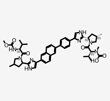 COC(=O)N[C@H](C(=O)N1CC(C)CC1c1nc(-c2ccc3cc(-c4ccc(-c5c[nH]c([C@@H]6C[C@H](C)CN6C(=O)[C@H](C(C)C)N(C)C(=O)O)n5)cc4)ccc3c2)c[nH]1)C(C)C